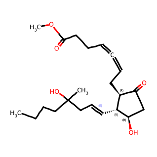 CCCCC(C)(O)C/C=C/[C@H]1[C@H](O)CC(=O)[C@@H]1CC=C=CCCC(=O)OC